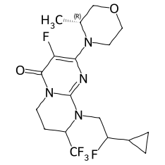 C[C@@H]1COCCN1c1nc2n(c(=O)c1F)CCC(C(F)(F)F)N2CC(F)C1CC1